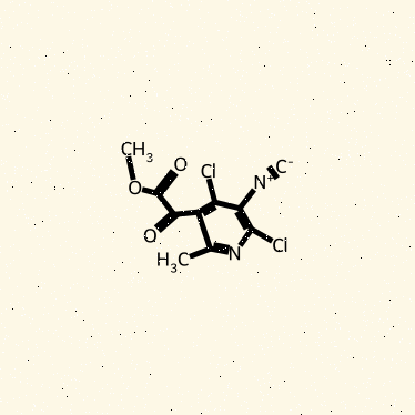 [C-]#[N+]c1c(Cl)nc(C)c(C(=O)C(=O)OC)c1Cl